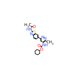 CC(=O)Nc1nc2ccc(-c3cc(NC(=O)OC4CCCCC4)c(C)nn3)cc2s1